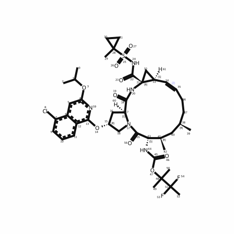 CC(C)Oc1cc2c(Cl)cccc2c(O[C@@H]2C[C@H]3C(=O)N[C@]4(C(=O)NS(=O)(=O)C5(C)CC5)C[C@H]4/C=C\CC[C@@H](C)C[C@@H](C)[C@H](NC(=O)OC(C)(C)C(C)(F)F)C(=O)N3C2)n1